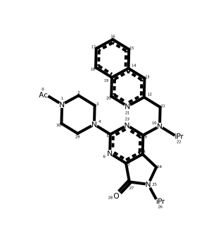 CC(=O)N1CCN(c2nc3c(c(N(Cc4cc5ccccc5cn4)C(C)C)n2)CN(C(C)C)C3=O)CC1